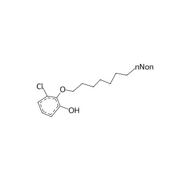 CCCCCCCCCCCCCCCCOc1c(O)cccc1Cl